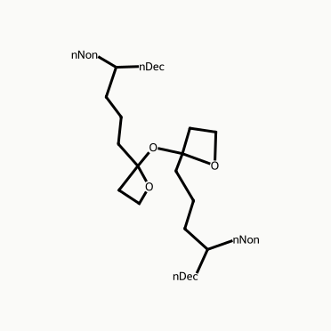 CCCCCCCCCCC(CCCCCCCCC)CCCC1(OC2(CCCC(CCCCCCCCC)CCCCCCCCCC)CCO2)CCO1